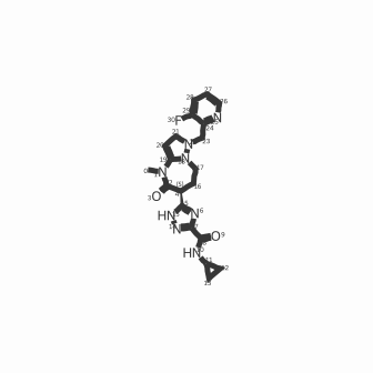 CN1C(=O)[C@H](c2nc(C(=O)NC3CC3)n[nH]2)CCN2C1=CCN2Cc1ncccc1F